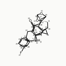 CNC(=O)Nc1ccc2c(c1)CC[C@@]21OC2OC1N2CC(=O)N(Cc1ccc(F)cc1)[C@H](C)C1CC1